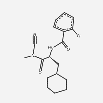 CN(C#N)C(=O)[C@H](CC1CCCCC1)NC(=O)c1ccccc1Cl